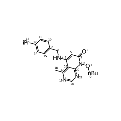 CCCCOn1c(=O)cc(NCc2ccc(C(C)C)cc2)c2c(C)ncnc21